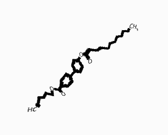 C#CCCCCOC(=O)c1ccc(-c2ccc(OC(=O)CCCCCCCCCCC)cc2)cc1